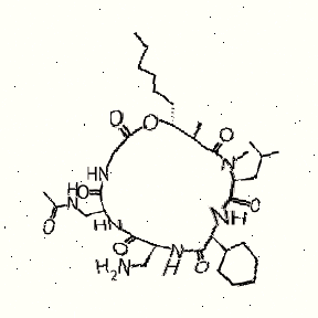 CCCCCC[C@H]1OC(=O)CNC(=O)[C@H](CNC(C)=O)NC(=O)[C@H](CN)NC(=O)[C@H](C2CCCCC2)NC(=O)[C@H](CC(C)C)N(C)C(=O)[C@@H]1C